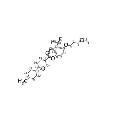 CCCCOc1ccc(OC(=O)C2CCC(C3CCC(C)CC3)OC2)c(F)c1C(F)F